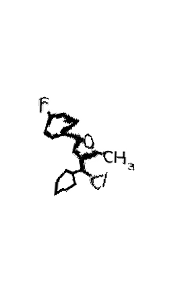 Cc1oc(-c2ccc(F)cc2)cc1C(Cl)C1CCCCC1